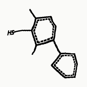 Cc1ccc(-c2ccccc2)c(C)c1S